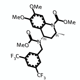 COC(=O)N(Cc1cc(C(F)(F)F)cc(C(F)(F)F)c1)[C@H]1C[C@@H](C)N(C(=O)OC)c2cc(OC)c(OC)cc21